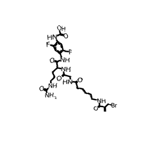 C=C(CBr)C(=O)NCCCCCC(=O)NCC(=O)NC(CCCNC(N)=O)C(=O)Nc1cc(F)c(NC(=O)O)cc1F